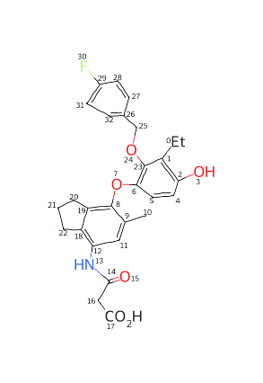 CCc1c(O)ccc(Oc2c(C)cc(NC(=O)CC(=O)O)c3c2CCC3)c1OCc1ccc(F)cc1